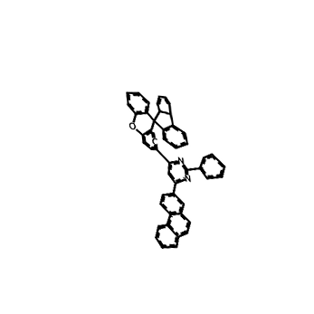 C1=CC2c3ccccc3C3(c4ccccc4Oc4ccc(-c5cc(-c6ccc7c(ccc8ccccc87)c6)nc(-c6ccccc6)n5)cc43)C2C=C1